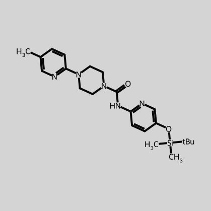 Cc1ccc(N2CCN(C(=O)Nc3ccc(O[Si](C)(C)C(C)(C)C)cn3)CC2)nc1